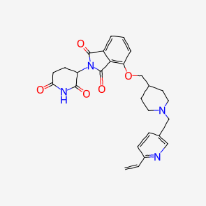 C=Cc1ccc(CN2CCC(COc3cccc4c3C(=O)N(C3CCC(=O)NC3=O)C4=O)CC2)cn1